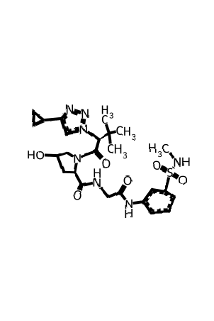 CNS(=O)(=O)c1cccc(NC(=O)CNC(=O)C2CC(O)CN2C(=O)[C@@H](n2cc(C3CC3)nn2)C(C)(C)C)c1